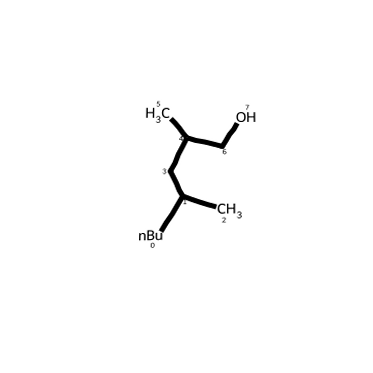 CCCCC(C)CC(C)CO